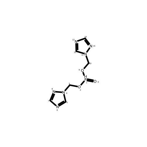 O=[PH](OCn1cncn1)OCn1cncn1